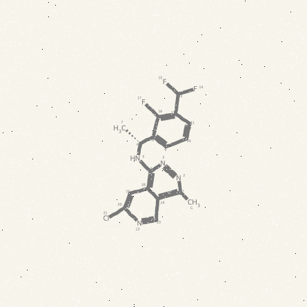 Cc1nnc(N[C@H](C)c2cccc(C(F)F)c2F)c2cc(Cl)ncc12